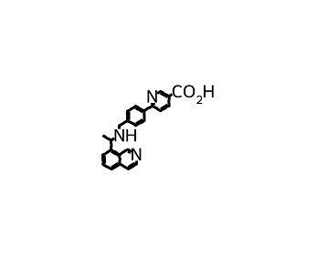 CC(NCc1ccc(-c2ccc(C(=O)O)cn2)cc1)c1cccc2ccncc12